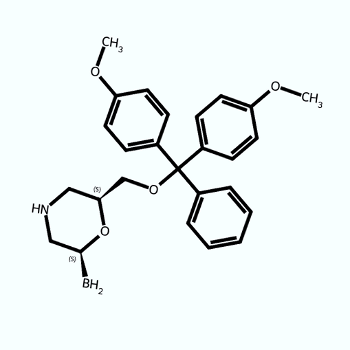 B[C@H]1CNC[C@@H](COC(c2ccccc2)(c2ccc(OC)cc2)c2ccc(OC)cc2)O1